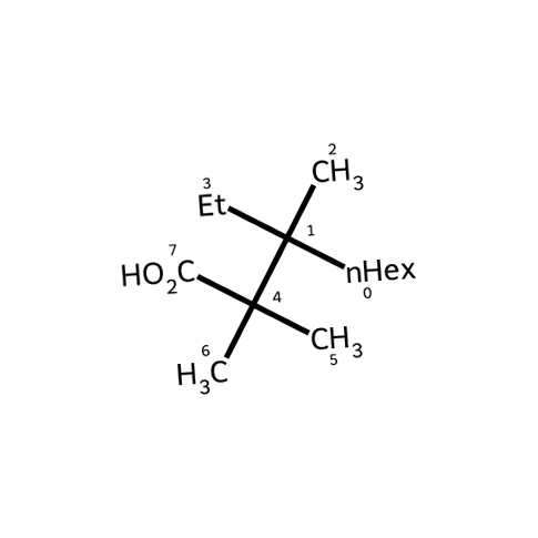 CCCCCCC(C)(CC)C(C)(C)C(=O)O